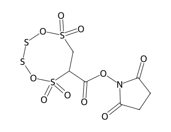 O=C(ON1C(=O)CCC1=O)C1CS(=O)(=O)OSSOS1(=O)=O